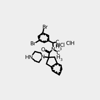 CC(c1cc(Br)cc(Br)c1)N(C)C(=O)C1(N2CCNCC2)Cc2ccccc2C1.Cl.Cl